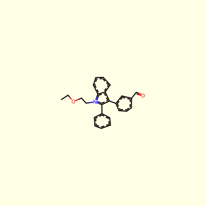 CCOCCn1c(-c2ccccc2)c(-c2cccc(C=O)c2)c2ccccc21